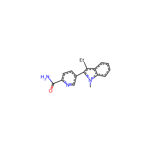 CCc1c(-c2c[c]c(C(N)=O)nc2)n(C)c2ccccc12